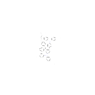 CCCCCCc1ccc(C2(c3ccc(C)cc3)c3cc(N(c4ccc(C)cc4)c4ccc(C)cc4)ccc3-c3ccc(N(c4ccc(C)cc4)c4ccc(C)cc4)cc32)cc1